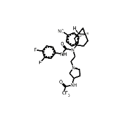 N#Cc1cccc([C@]23CCC(N(CCN4CCC(NC(=O)C(F)(F)F)C4)C(=O)Nc4ccc(F)c(F)c4)C[C@@H]2C3)c1